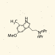 CCCN(CCC)CCc1c[nH]c2c(C)cc(OC)cc12